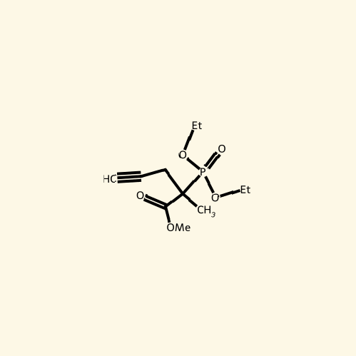 C#CCC(C)(C(=O)OC)P(=O)(OCC)OCC